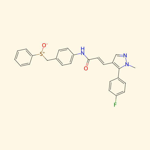 Cn1ncc(C=CC(=O)Nc2ccc(C[S+]([O-])c3ccccc3)cc2)c1-c1ccc(F)cc1